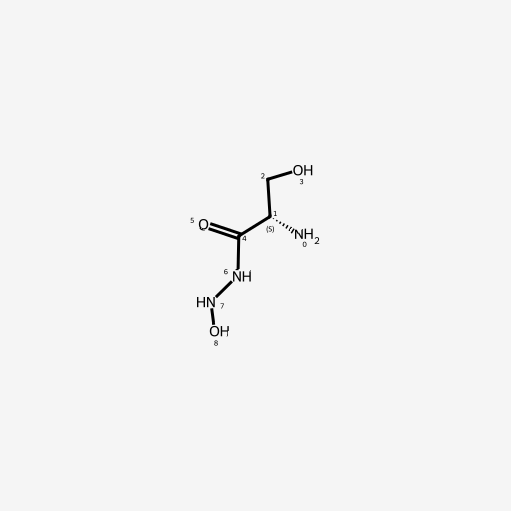 N[C@@H](CO)C(=O)NNO